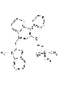 CN1/C(=C/c2cc(SCC[N+](C)(C)C)[n+](-c3ccccc3)c3ccccc23)Sc2ccccc21